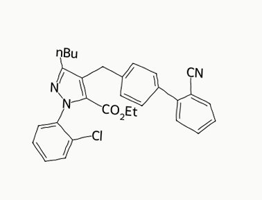 CCCCc1nn(-c2ccccc2Cl)c(C(=O)OCC)c1Cc1ccc(-c2ccccc2C#N)cc1